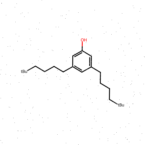 CC(C)(C)CCCCc1cc(O)cc(CCCCC(C)(C)C)c1